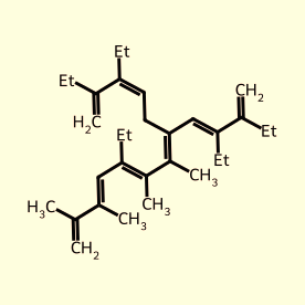 C=C(C)C(C)=CC(CC)=C(C)C(C)=C(C=C(CC)C(=C)CC)CC=C(CC)C(=C)CC